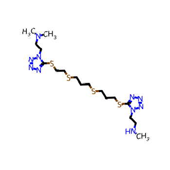 CNCCn1nnnc1SCCCSCCCSCCSc1nnnn1CCN(C)C